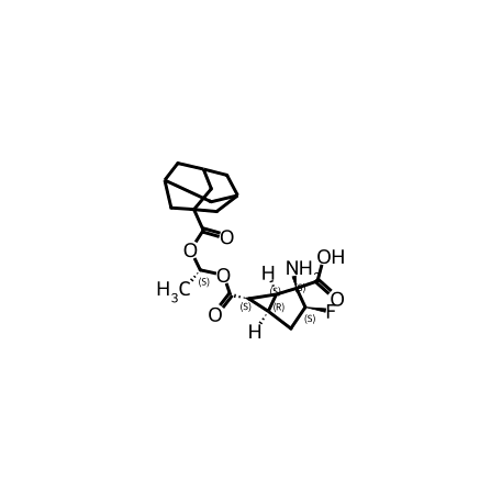 C[C@@H](OC(=O)[C@H]1[C@@H]2C[C@H](F)[C@@](N)(C(=O)O)[C@@H]21)OC(=O)C12CC3CC(CC(C3)C1)C2